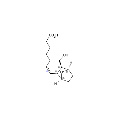 O=C(O)CCCC/C=C\[C@H]1[C@@H](CO)[C@H]2CC[C@@H]1O2